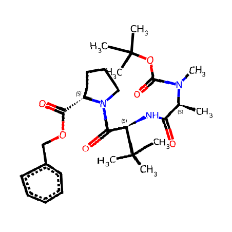 C[C@@H](C(=O)N[C@H](C(=O)N1CCC[C@H]1C(=O)OCc1ccccc1)C(C)(C)C)N(C)C(=O)OC(C)(C)C